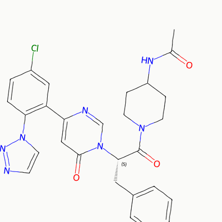 CC(=O)NC1CCN(C(=O)[C@H](Cc2ccccc2)n2cnc(-c3cc(Cl)ccc3-n3ccnn3)cc2=O)CC1